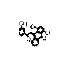 O=C(C=C1c2ccccc2C(=O)c2c(Cl)ccc(Cl)c21)c1cccc(O)c1